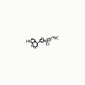 [C-]#[N+]CN1CC(CC)(n2cc(-c3cnnc4[nH]ccc34)cn2)C1